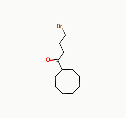 O=C(CCCBr)C1CCCCCCC1